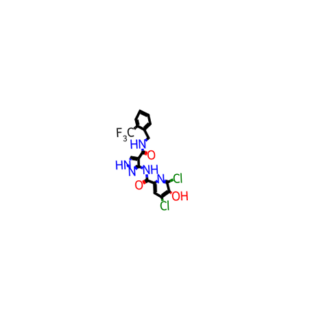 O=C(Nc1n[nH]cc1C(=O)NCc1ccccc1C(F)(F)F)c1cc(Cl)c(O)c(Cl)n1